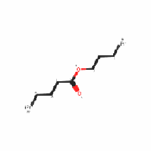 CC(C)CCCOC(=O)CCCC(C)C